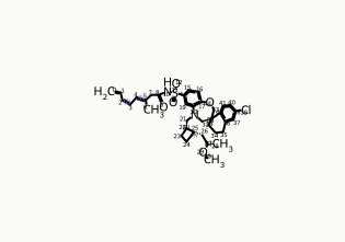 C=C/C=C\C=C(/C)CC(=O)NS(=O)(=O)c1ccc2c(c1)N(C[C@@H]1CC[C@H]1C[C@H](C)OC)C[C@@]1(CCCc3cc(Cl)ccc31)CO2